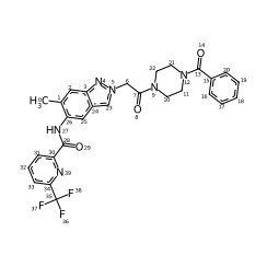 Cc1cc2nn(CC(=O)N3CCN(C(=O)c4ccccc4)CC3)cc2cc1NC(=O)c1cccc(C(F)(F)F)n1